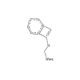 CCCCCCOC1=Cc2ccccc21